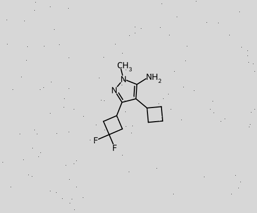 Cn1nc(C2CC(F)(F)C2)c(C2CCC2)c1N